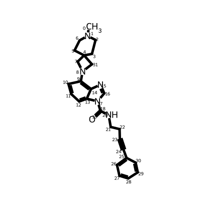 CN1CCC2(CC1)CN(c1cccc3c1ncn3C(=O)NCCC#Cc1ccccc1)C2